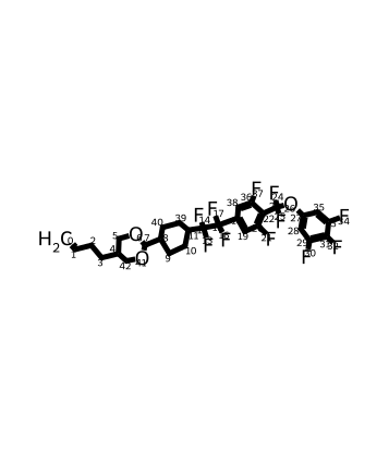 C=CCCC1COC(C2CCC(C(F)(F)C(F)(F)c3cc(F)c(C(F)(F)Oc4cc(F)c(F)c(F)c4)c(F)c3)CC2)OC1